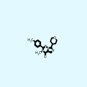 Cc1ccc(-c2nn3c(C4CCOCC4)ncc3c(=O)n2C)cc1